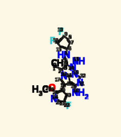 CCC(/C(=C/Nc1ccc(F)c(F)c1)N=N)n1cc(-c2cc(F)cnc2OC)c2c(N)ncnc21